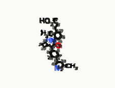 Cc1cncc(-c2ccc(C(C(=O)Nc3cccc(CCC(=O)O)c3C)C3CCC3)cc2)c1